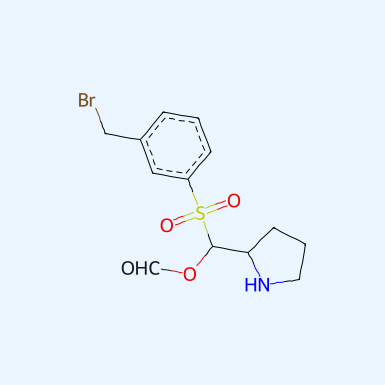 O=COC(C1CCCN1)S(=O)(=O)c1cccc(CBr)c1